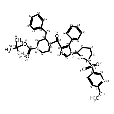 COc1ccc(S(=O)(=O)N2CCCC(n3cnc(C(=O)N4CCN(C(=O)OC(C)(C)C)C[C@H]4Cc4ccccc4)c3-c3ccccc3)C2)cn1